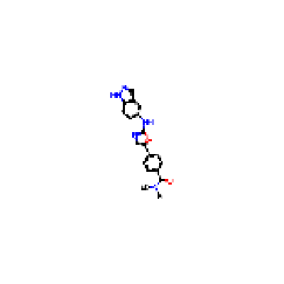 CCN(CC)C(=O)c1ccc(-c2cnc(Nc3ccc4[nH]ncc4c3)o2)cc1